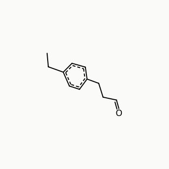 CCc1ccc(CCC=O)cc1